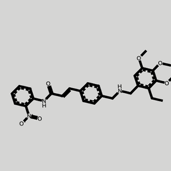 CCc1c(CNCc2ccc(/C=C/C(=O)Nc3ccccc3[N+](=O)[O-])cc2)cc(OC)c(OC)c1OC